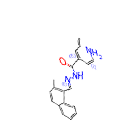 C=C/C=C(\C=C/N)C(=O)N/N=C/c1c(C)ccc2ccccc12